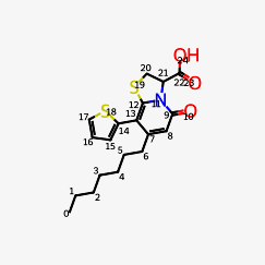 CCCCCCCc1cc(=O)n2c(c1-c1cccs1)SCC2C(=O)O